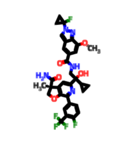 COc1cc(C(=O)NCC(O)(c2cc3c(c(-c4ccc(F)c(C(F)(F)F)c4)n2)OC[C@]3(C)C(N)=O)C2CC2)cc2cn(C3(F)CC3)nc12